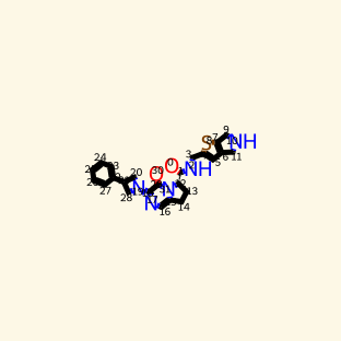 O=C(NCc1cc2c(s1)CNC2)[C@@H]1CCc2cnc(N3CC(c4ccccc4)C3)c(=O)n21